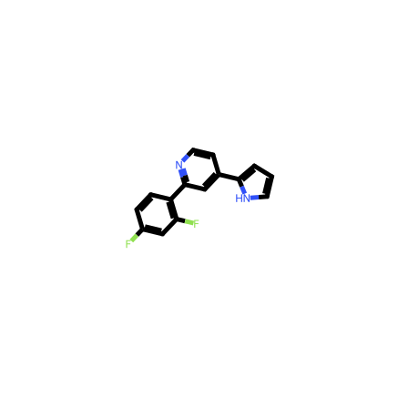 Fc1ccc(-c2cc(-c3ccc[nH]3)ccn2)c(F)c1